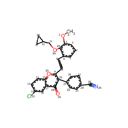 COc1cccc(/C=C/c2oc3ccc(Cl)cc3c(=O)c2-c2ccc(C#N)cc2)c1OCC1CC1